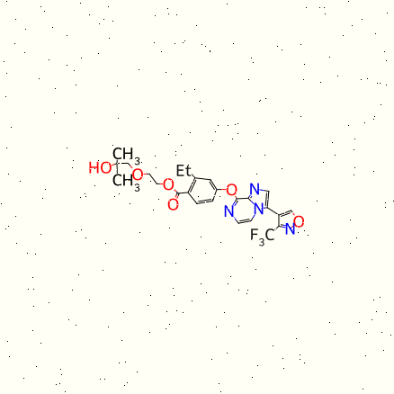 CCc1cc(Oc2nccn3c(-c4conc4C(F)(F)F)cnc23)ccc1C(=O)OCCOCC(C)(C)O